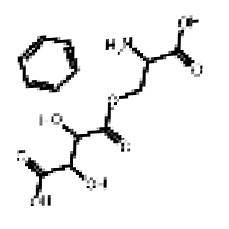 NC(COC(=O)C(O)C(O)C(=O)O)C(=O)O.c1ccccc1